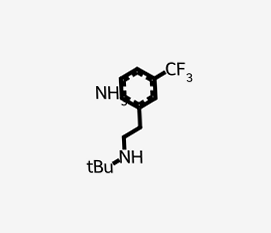 CC(C)(C)NCCc1cccc(C(F)(F)F)c1.N